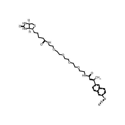 C/C(=C\C(=O)NCCOCCOCCOCCOCCNC(=O)CCCC[C@@H]1SC[C@@H]2NC(=O)N[C@@H]21)c1ccc2cc(N=[N+]=[N-])ccc2c1